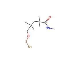 CNC(=O)C(C)(C)CC(C)(C)COSS